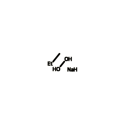 CCC.OO.[NaH]